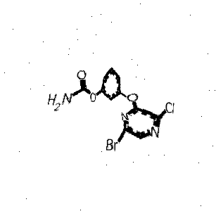 NC(=O)Oc1cccc(Oc2nc(Br)cnc2Cl)c1